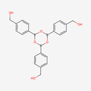 OCc1ccc(B2OB(c3ccc(CO)cc3)OB(c3ccc(CO)cc3)O2)cc1